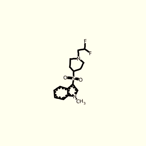 Cn1cc(S(=O)(=O)C2CCN(CC(F)F)CC2)c2ccccc21